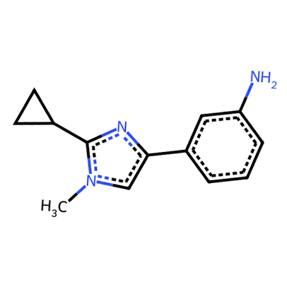 Cn1cc(-c2cccc(N)c2)nc1C1CC1